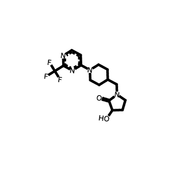 O=C1C(O)CCN1CC1CCN(c2ccnc(C(F)(F)F)n2)CC1